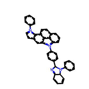 C1=CC2=NC(c3ccc(-n4c5cccc6ccc7c(c65)c4cc4ccn(-c5ccccc5)c47)cc3)N(c3ccccc3)C2C=C1